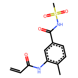 C=CC(=O)Nc1cc(C(=O)NS(C)(=O)=O)ccc1C